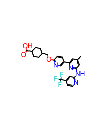 Cc1cc(Nc2cc(C(F)(F)F)ccn2)nc(-c2ccc(OCC3CCC(C(=O)O)CC3)nc2)c1